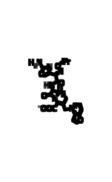 CC(C)O/N=C(/C(=O)NC1C(=O)N2C(C(=O)[O-])=C(C[n+]3cccc4occc43)CS[C@H]12)c1coc(N)n1